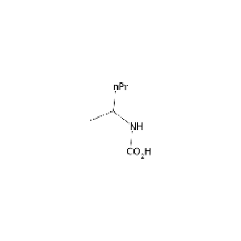 CCCC(C)NC(=O)O